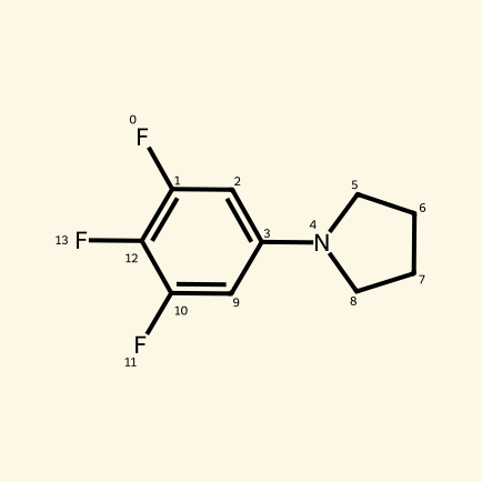 Fc1cc(N2CCCC2)cc(F)c1F